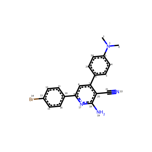 CN(C)c1ccc(-c2cc(-c3ccc(Br)cc3)nc(N)c2C#N)cc1